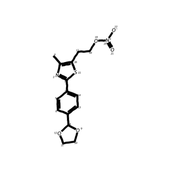 Cc1nc(-c2ccc(C3OCCO3)cc2)sc1CCO[N+](=O)[O-]